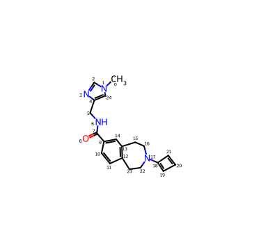 Cn1cnc(CNC(=O)c2ccc3c(c2)CCN(C2=CC=C2)CC3)c1